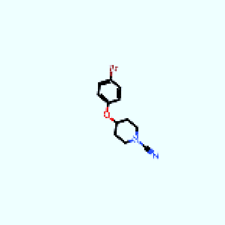 N#CN1CCC(Oc2ccc(Br)cc2)CC1